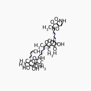 C/C=C\C=C\[C@@H]1O[C@](O)([C@H](CC)C(=O)NC/C=C/C=C(\C)[C@@H](OC)[C@H](C)[C@@H]2O[C@H](/C=C/C=C/C=C(\C)C(=O)c3c(O)cc[nH]c3=O)[C@H](O)[C@@H]2O)[C@H](O)[C@H](O)C1(C)C